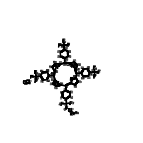 FC(F)(F)c1ccc(-c2c3nc(c(-c4ccc(C(F)(F)F)cc4)c4ccc([nH]4)c(-c4ccc(C(F)(F)F)cc4)c4nc(c(-c5ccc(C(F)(F)F)cc5)c5ccc2[nH]5)C=C4)C=C3)cc1.[Cl-].[Cl-].[Cl-].[Fe+3]